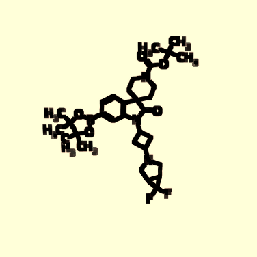 CC(C)(C)OC(=O)N1CCC2(CC1)C(=O)N(C1CC(N3CC4C(C3)C4(F)F)C1)c1cc(B3OC(C)(C)C(C)(C)O3)ccc12